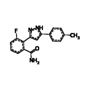 Cc1ccc(-c2cc(-c3c(F)cccc3C(N)=O)n[nH]2)cc1